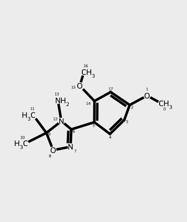 COc1ccc(C2=NOC(C)(C)N2N)c(OC)c1